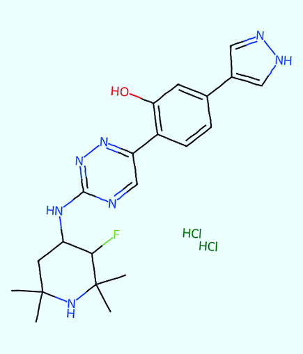 CC1(C)CC(Nc2ncc(-c3ccc(-c4cn[nH]c4)cc3O)nn2)C(F)C(C)(C)N1.Cl.Cl